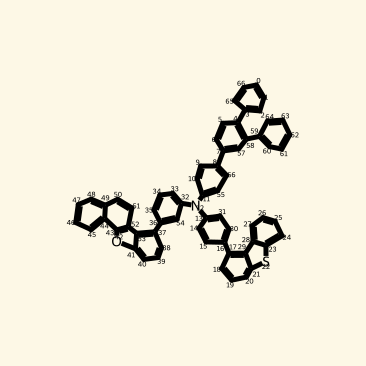 c1ccc(-c2ccc(-c3ccc(N(c4ccc(-c5cccc6sc7ccccc7c56)cc4)c4cccc(-c5cccc6oc7c8ccccc8ccc7c56)c4)cc3)cc2-c2ccccc2)cc1